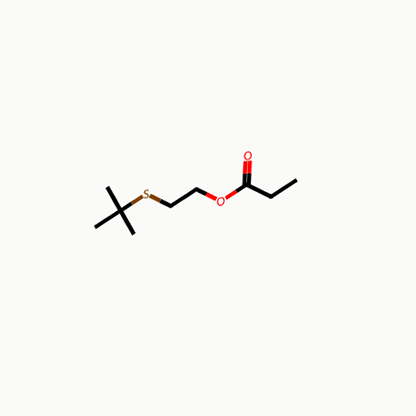 CCC(=O)OCCSC(C)(C)C